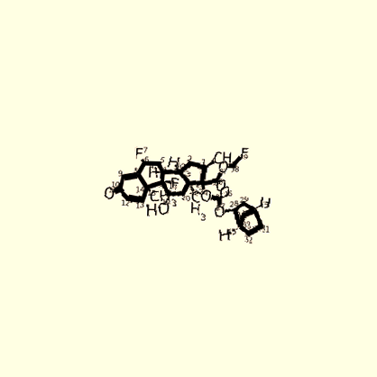 C[C@@H]1C[C@H]2[C@@H]3C[C@H](F)C4=CC(=O)C=C[C@]4(C)[C@@]3(F)[C@@H](O)C[C@]2(C)[C@@]1(OC(=O)O[C@H]1C[C@H]2CC[C@@H]1C2)C(=O)OCF